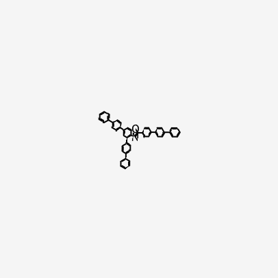 c1ccc(-c2ccc(-c3ccc(-c4nc5c(-c6ccc(-c7ccccc7)cc6)cc(-c6ccc(-c7ccccc7)cc6)cc5o4)cc3)cc2)cc1